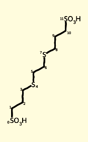 O=S(=O)(O)CCCSCCSCCCS(=O)(=O)O